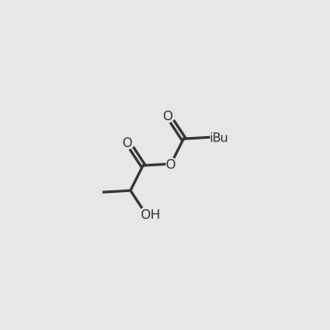 CCC(C)C(=O)OC(=O)C(C)O